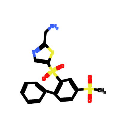 CS(=O)(=O)c1ccc(-c2ccccc2)c(S(=O)(=O)c2cnc(CN)s2)c1